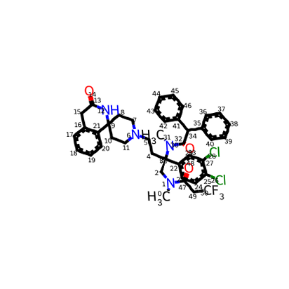 CN(C[C@](CCN1CCC2(CC1)NC(=O)Cc1ccccc12)(c1ccc(Cl)c(Cl)c1)N(C)C(=O)C(c1ccccc1)c1ccccc1)C(=O)CC(F)(F)F